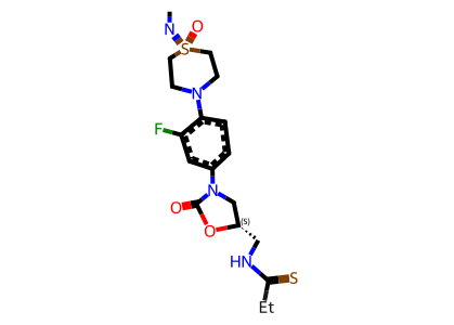 CCC(=S)NC[C@H]1CN(c2ccc(N3CCS(=O)(=NC)CC3)c(F)c2)C(=O)O1